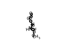 COCCOc1cc2[nH]nc(-c3cc(-c4ccc(C(=O)N5CCC6(CCOC6)C5)cc4)no3)c2cc1F